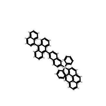 c1ccc([Si](c2ccccc2)(c2ccc3cc(-c4c5ccccc5c(-c5cccc6ccccc56)c5ccccc45)ccc3c2)c2ccc3ccc4cccc5ccc2c3c45)cc1